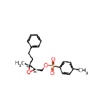 Cc1ccc(S(=O)(=O)OC[C@H]2O[C@]2(C)CCc2ccccc2)cc1